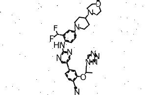 CC(Cn1cnnn1)Oc1cc(-c2cnc(Nc3ccc(N4CCC(N5CCOCC5)CC4)cc3C(F)F)nc2)ccc1C#N